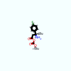 CC(C)(C)OC(=O)OC(=O)C[C@@](N)(c1ccc(F)cc1)C(C)(C)C